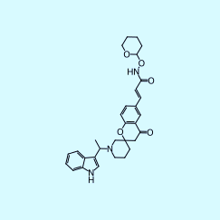 CC(c1c[nH]c2ccccc12)N1CCCC2(CC(=O)c3cc(/C=C/C(=O)NOC4CCCCO4)ccc3O2)C1